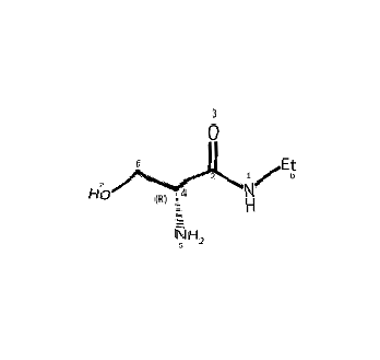 CCNC(=O)[C@H](N)CO